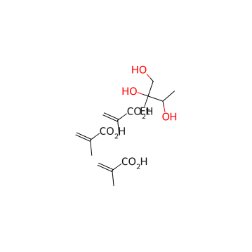 C=C(C)C(=O)O.C=C(C)C(=O)O.C=C(C)C(=O)O.CCC(O)(CO)C(C)O